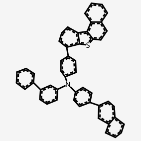 c1ccc(-c2cccc(N(c3ccc(-c4ccc5ccccc5c4)cc3)c3ccc(-c4cccc5c4sc4ccc6ccccc6c45)cc3)c2)cc1